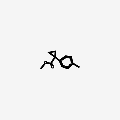 COC(=O)C1(c2ccc(C)cc2)CC1